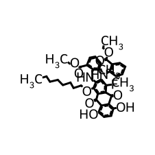 CCCCCCCCOc1c(Nc2c(C)cccc2C(=O)OCC)c(Nc2c(C)cccc2C(=O)OCC)c(F)c2c1C(=O)c1c(O)ccc(O)c1C2=O